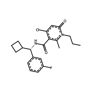 CCCn1c(C)c(C(=O)N[C@H](c2cccc(F)c2)C2CCC2)c(Cl)cc1=O